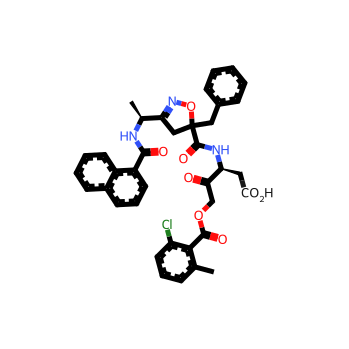 Cc1cccc(Cl)c1C(=O)OCC(=O)[C@H](CC(=O)O)NC(=O)C1(Cc2ccccc2)CC([C@H](C)NC(=O)c2cccc3ccccc23)=NO1